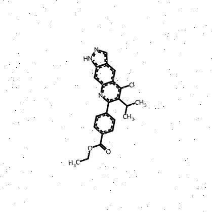 CCOC(=O)c1ccc(-c2nc3cc4[nH]ncc4cc3c(Cl)c2C(C)C)cc1